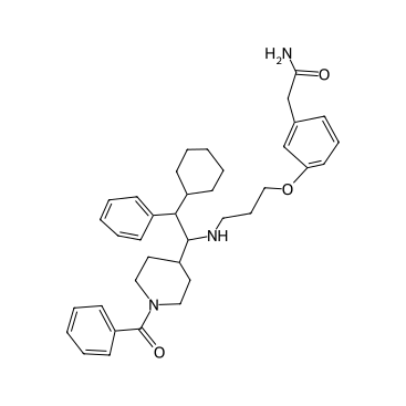 NC(=O)Cc1cccc(OCCCNC(C2CCN(C(=O)c3ccccc3)CC2)C(c2ccccc2)C2CCCCC2)c1